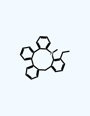 CCc1cccc2c1N(C)c1ccccc1-c1ccccc1-c1ccccc1C2